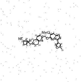 COc1cc2nnc(-c3cc(C)on3)n2nc1OCc1ccc2c(n1)CCN(C[C@@H]1CC3(C#N)CC1C3)C2